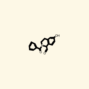 O=CC1c2ccc(O)cc2CCN1C(=O)c1ccccc1